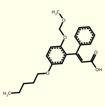 CCCCCOc1ccc(OCOC)c(C(=CC(=O)O)c2ccccc2)c1